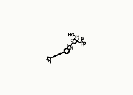 CN1CC[C@H]1C#CC#Cc1ccc2nc(CC[C@@](C)(C[SH](=O)=O)C(=O)NO)sc2c1